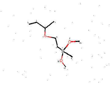 CCC(C)OCC[Si](C)(OC)OC